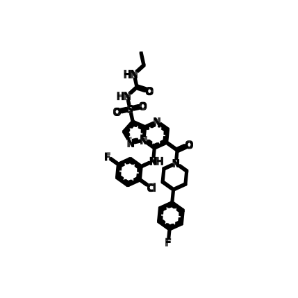 CCNC(=O)NS(=O)(=O)c1cnn2c(Nc3cc(F)ccc3Cl)c(C(=O)N3CCC(c4ccc(F)cc4)CC3)cnc12